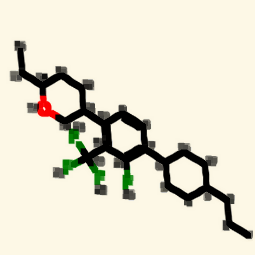 CCCC1CCC(c2ccc(C3CCC(CC)OC3)c(C(F)(F)F)c2F)CC1